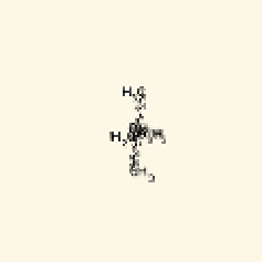 CCCCCCCCCCCCCCCCCC.O.O=S(=O)(O)O.[AlH3]